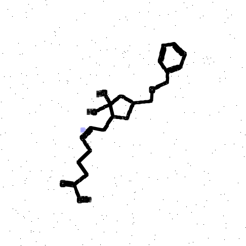 COC(=O)CCC/C=C\CC1CC(COCc2ccccc2)CC1(O)O